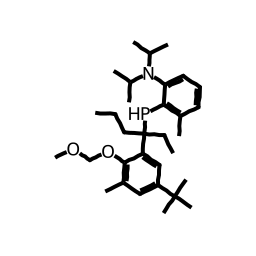 CCCC(CC)(Pc1c(C)cccc1N(C(C)C)C(C)C)c1cc(C(C)(C)C)cc(C)c1OCOC